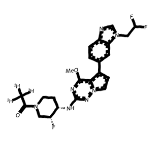 [2H]C([2H])([2H])C(=O)N1CC[C@H](Nc2nc(OC)c3c(-c4ccc5ncn(CC(F)F)c5c4)ccn3n2)[C@H](F)C1